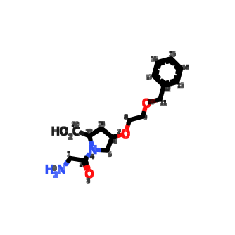 NCC(=O)N1CC(OCCOCc2ccccc2)CC1C(=O)O